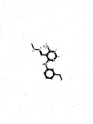 CCc1cccc(Nc2ncnc(N)c2/C=N/OC)c1